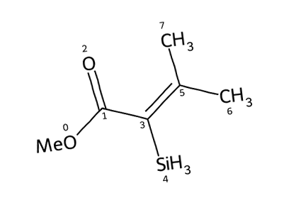 COC(=O)C([SiH3])=C(C)C